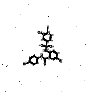 O=C(Nc1ccc(Br)cc1)c1cc(Br)ccc1NS(=O)(=O)c1ccc(F)c(Cl)c1